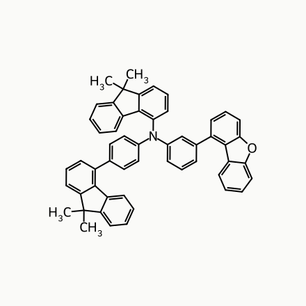 CC1(C)c2ccccc2-c2c(-c3ccc(N(c4cccc(-c5cccc6oc7ccccc7c56)c4)c4cccc5c4-c4ccccc4C5(C)C)cc3)cccc21